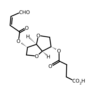 O=C/C=C\C(=O)O[C@H]1CO[C@H]2[C@@H]1OC[C@@H]2OC(=O)CCC(=O)O